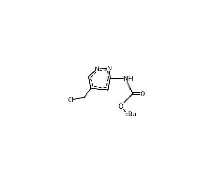 CC(C)(C)OC(=O)Nc1cc(CCl)cnn1